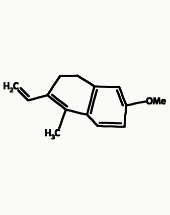 C=CC1=C(C)c2ccc(OC)cc2CC1